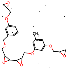 Cc1cc(OCC2CO2)cc(OCC2OC2C2OC2COCc2cccc(OCC3CO3)c2)c1